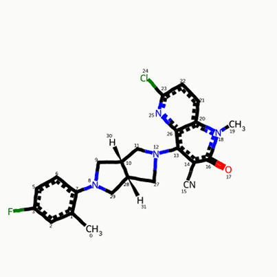 Cc1cc(F)ccc1N1C[C@@H]2CN(c3c(C#N)c(=O)n(C)c4ccc(Cl)nc34)C[C@@H]2C1